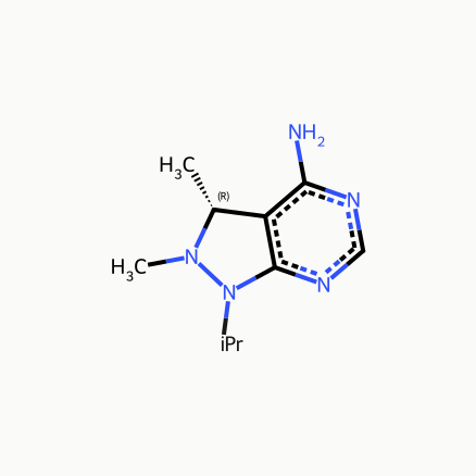 CC(C)N1c2ncnc(N)c2[C@@H](C)N1C